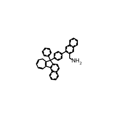 NCc1cc2ccccc2cc1-c1ccc(C2(c3ccccc3)C3=C(C=CC=CC3)c3c2ccc2ccccc32)cc1